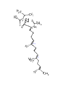 CC(=O)N[C@@H](CSC/C=C(\C)CC/C=C(\C)CCC=C(C)C)C(=O)N[C@H](C(=O)O)C(C)C